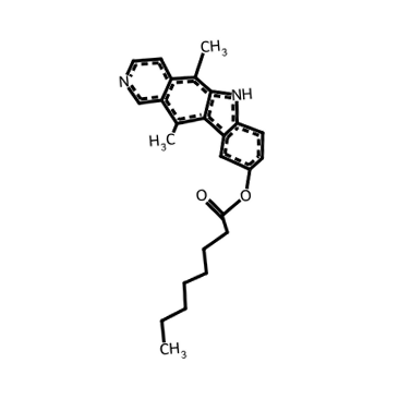 CCCCCCCC(=O)Oc1ccc2[nH]c3c(C)c4ccncc4c(C)c3c2c1